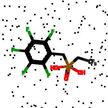 O=S(O)(O)(Cc1c(F)c(F)c(F)c(F)c1F)CC(F)(F)F